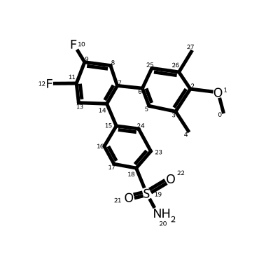 COc1c(C)cc(-c2cc(F)c(F)cc2-c2ccc(S(N)(=O)=O)cc2)cc1C